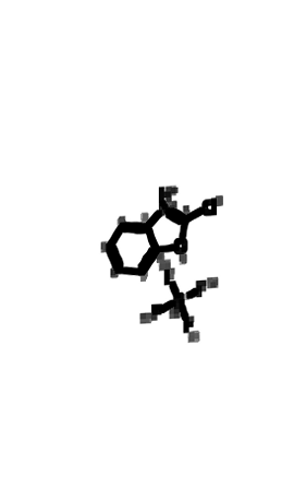 Clc1[nH+]c2ccccc2o1.F[B-](F)(F)F